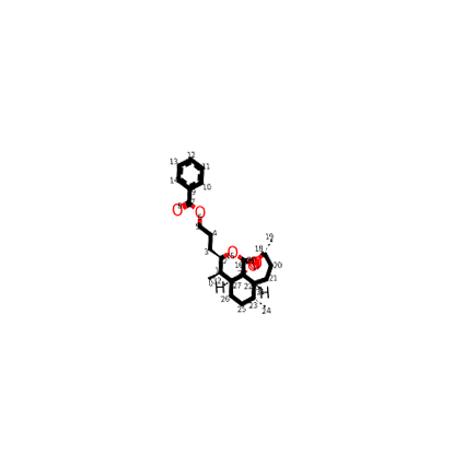 C[C@H]1[C@@H](CCCOC(=O)c2ccccc2)OC2O[C@]3(C)CC[C@H]4[C@H](C)CC[C@@H]1[C@@]24OO3